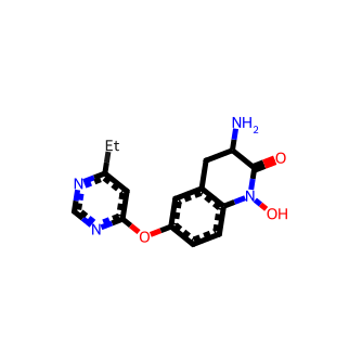 CCc1cc(Oc2ccc3c(c2)CC(N)C(=O)N3O)ncn1